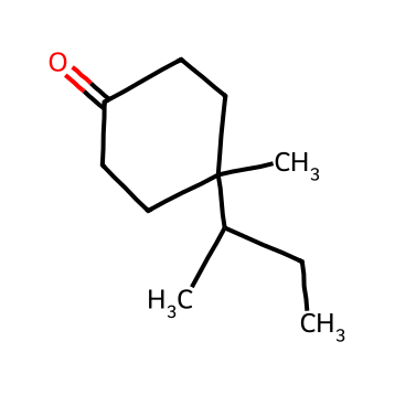 CCC(C)C1(C)CCC(=O)CC1